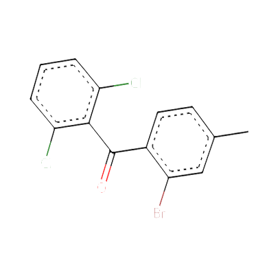 Cc1ccc(C(=O)c2c(Cl)cccc2Cl)c(Br)c1